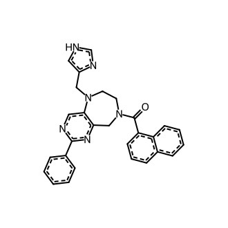 O=C(c1cccc2ccccc12)N1CCN(Cc2c[nH]cn2)c2cnc(-c3ccccc3)nc2C1